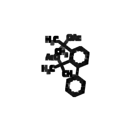 CC(=O)OC(C)(C)c1cccc(-c2ccccc2)c1C(C)(C)OC(C)=O